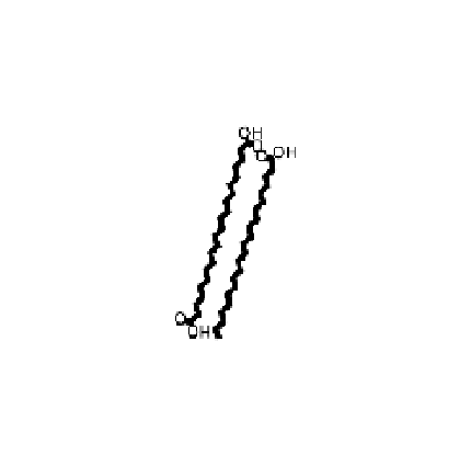 CCCCCCCCCCCCCCCCCCCCCC(=O)O.O=C(O)CCCCCCCCCCCCCCCCCCCCC(=O)O